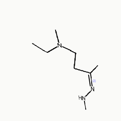 CCN(C)CC/C(C)=N\NC